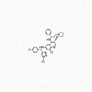 N#Cc1cnc2c(Cl)cc(N[C@@H](c3ccc(F)cc3)c3cn(C4CC4)nn3)cc2c1N[C@H](CCN1CCCC1)c1ccccc1